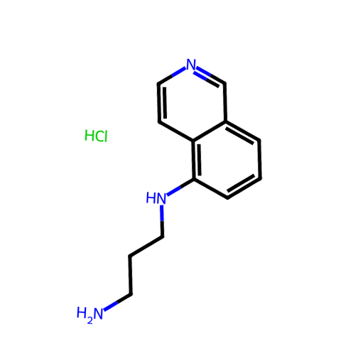 Cl.NCCCNc1cccc2cnccc12